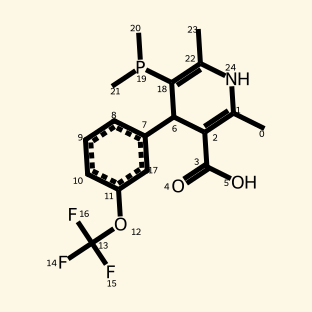 CC1=C(C(=O)O)C(c2cccc(OC(F)(F)F)c2)C(P(C)C)=C(C)N1